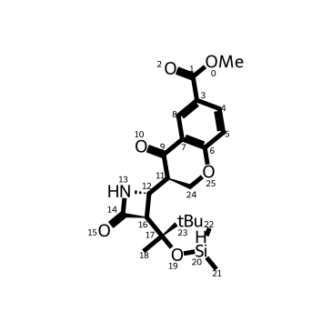 COC(=O)c1ccc2c(c1)C(=O)[C@H]([C@H]1NC(=O)[C@@H]1[C@@](C)(O[SiH](C)C)C(C)(C)C)CO2